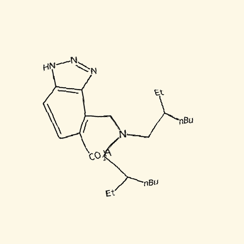 CCCCC(CC)CN(Cc1c(C(=O)O)ccc2[nH]nnc12)CC(CC)CCCC